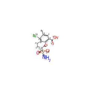 Cc1cc(C(=O)O)c2c(c1Br)CCC(S(N)(=O)=O)O2